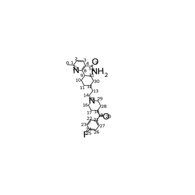 Cc1ccc(C(N)=O)c(C2CCC(CCN3CCC(C(=O)c4ccc(F)cc4)CC3)CC2)n1